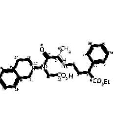 CCOC(=O)C(CCN[C@@H](C)C(=O)N(CC(=O)O)N1CCc2ccccc2C1)c1ccccc1